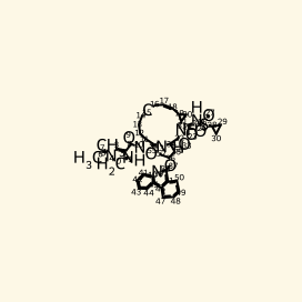 C=N/C(=C\N=C(C)C)C(=O)N[C@H]1CCCCC/C=C\C2C[C@@]2(C(=O)NS(=O)(=O)C2CC2)NC(=O)[C@@H]2C[C@@H](Oc3nc4ccccc4c4ccccc34)CN2C1=O